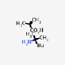 C=C(C)C(=O)O.CCC(C)C(C)(C)N